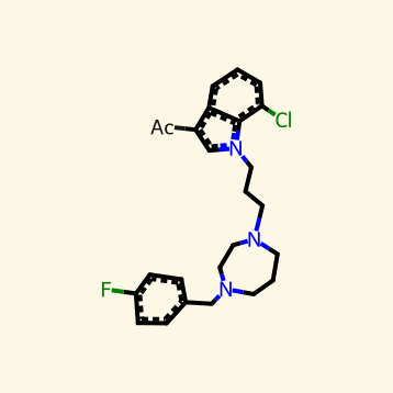 CC(=O)c1cn(CCCN2CCCN(Cc3ccc(F)cc3)CC2)c2c(Cl)cccc12